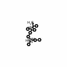 C=CC/C(=C1\NC(c2ccccc2)=C(c2ccc(-c3cccc(C4NC(c5ccccc5)=NC(c5ccc(C6C=CC=CC6)cc5)N4)c3)cc2)c2ccccc21)c1ccccc1